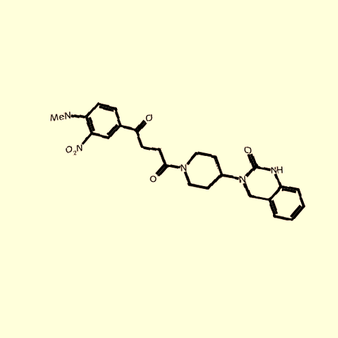 CNc1ccc(C(=O)CCC(=O)N2CCC(N3Cc4ccccc4NC3=O)CC2)cc1[N+](=O)[O-]